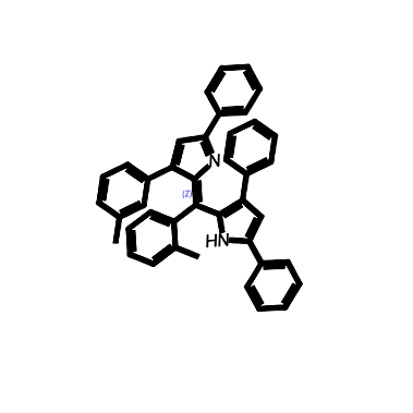 Cc1cccc(C2=CC(c3ccccc3)=N/C2=C(/c2ccccc2C)c2[nH]c(-c3ccccc3)cc2-c2ccccc2)c1